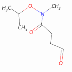 CC(C)ON(C)C(=O)CCC=O